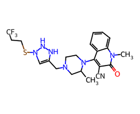 CC1CN(CC2=CN(SCCC(F)(F)F)NN2)CCN1c1c(C#N)c(=O)n(C)c2ccccc12